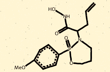 C=CCC(C(=O)NO)N1CCCOP1(=O)c1ccc(OC)cc1